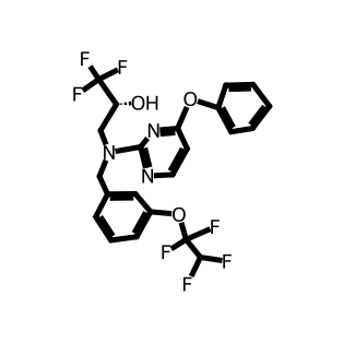 O[C@H](CN(Cc1cccc(OC(F)(F)C(F)F)c1)c1nccc(Oc2ccccc2)n1)C(F)(F)F